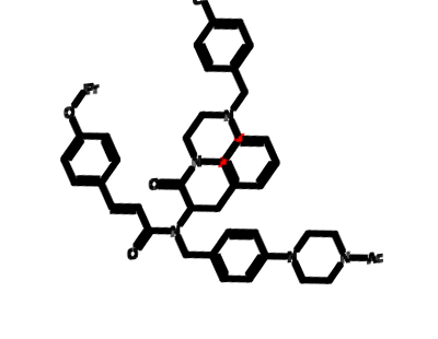 CC(=O)N1CCN(c2ccc(CN(C(=O)C=Cc3ccc(OC(C)C)cc3)C(Cc3ccccc3)C(=O)N3CCN(Cc4ccc(Cl)cc4)CC3)cc2)CC1